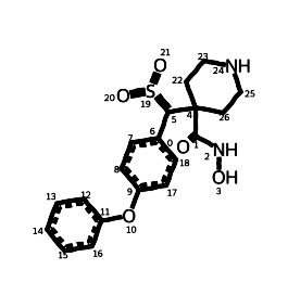 O=C(NO)C1(C(c2ccc(Oc3ccccc3)cc2)=S(=O)=O)CCNCC1